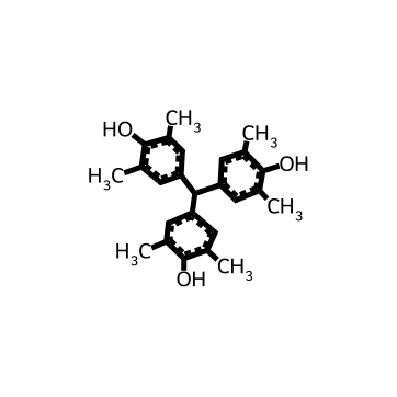 Cc1cc(C(c2cc(C)c(O)c(C)c2)c2cc(C)c(O)c(C)c2)cc(C)c1O